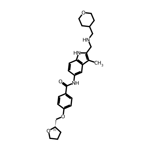 Cc1c(CNCC2CCOCC2)[nH]c2ccc(NC(=O)c3ccc(OC[C@@H]4CCCO4)cc3)cc12